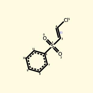 O=S(=O)(/C=[C]/Cl)c1ccccc1